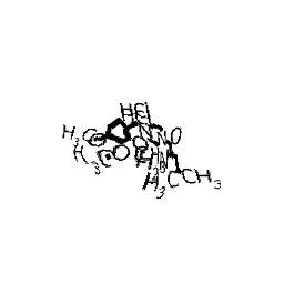 COc1ccc(CN2CCN(C(=O)[C@H](N)CC(C)C)CC2)c(OC)c1OC.Cl.Cl